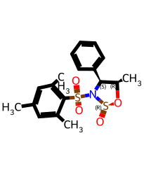 Cc1cc(C)c(S(=O)(=O)N2[C@@H](c3ccccc3)[C@@H](C)O[S@]2=O)c(C)c1